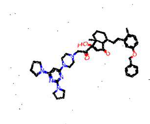 Cc1ccc(OCc2ccccc2)cc1CCC1CCCC2(C)C1C(=O)CC2(O)C(=O)CN1CCN(c2cc(N3CCCC3)nc(N3CCCC3)n2)CC1